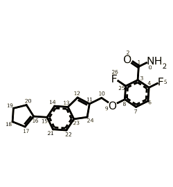 NC(=O)c1c(F)ccc(OCC2=Cc3cc(C4=CCCC4)ccc3C2)c1F